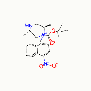 C[C@@H]1CN[C@@H](C)C[N+]1(C(=O)OC(C)(C)C)c1ccc([N+](=O)[O-])c2ccccc12